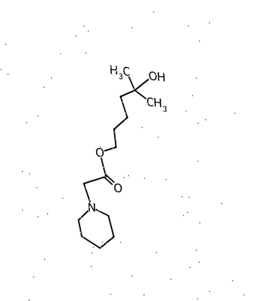 CC(C)(O)CCCCOC(=O)CN1CCCCC1